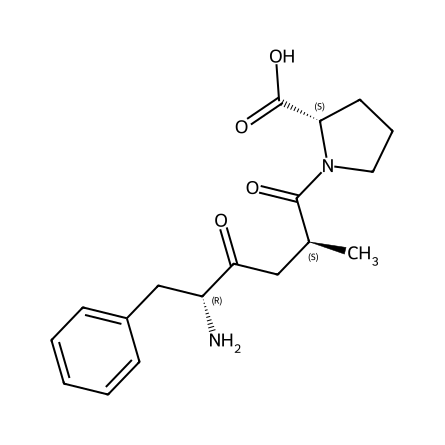 C[C@@H](CC(=O)[C@H](N)Cc1ccccc1)C(=O)N1CCC[C@H]1C(=O)O